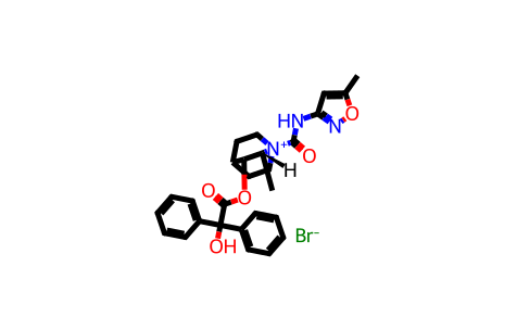 Cc1cc(NC(=O)[N+]23CCC(CC2)C(OC(=O)C(O)(c2ccccc2)c2ccccc2)[C@H]3C)no1.[Br-]